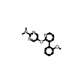 COc1ccccc1-c1cccnc1Oc1cnc(N(C)C)nc1